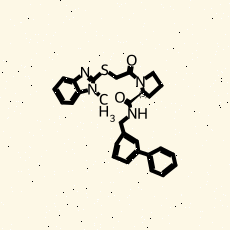 Cn1c(SCC(=O)N2CCC[C@H]2C(=O)NCc2cccc(-c3ccccc3)c2)nc2ccccc21